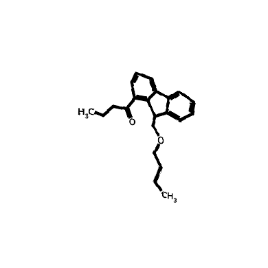 CCCCOCC1c2ccccc2-c2cccc(C(=O)CCC)c21